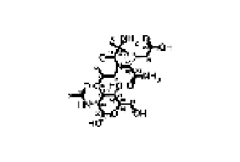 CC(=O)N[C@@H]1[C@@H](OC(C)CN(C(=O)C(C)(C)N)[C@H](CCC(=O)O)C(N)=O)[C@H](O)[C@@H](CO)O[C@@H]1O